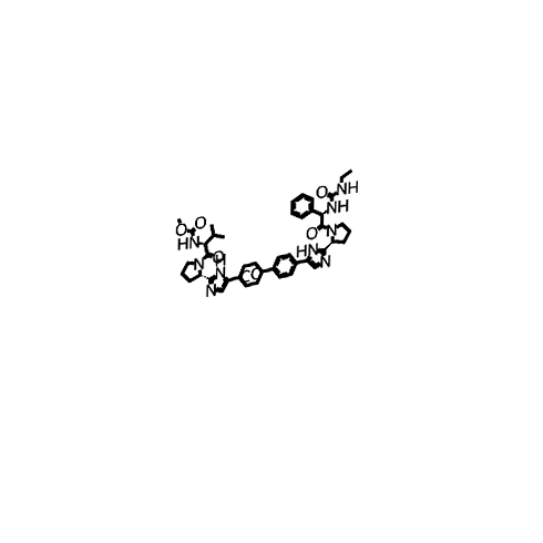 CCNC(=O)N[C@@H](C(=O)N1CCC[C@H]1c1ncc(-c2ccc(C34CCC(c5cnc([C@@H]6CCCN6C(=O)[C@@H](NC(=O)OC)C(C)C)[nH]5)(CC3)CC4)cc2)[nH]1)c1ccccc1